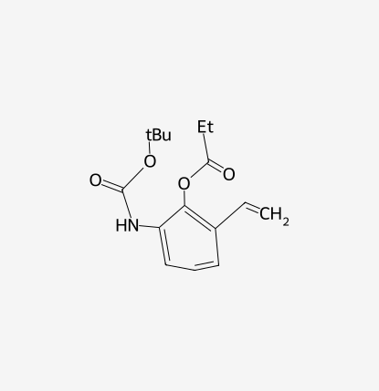 C=Cc1cccc(NC(=O)OC(C)(C)C)c1OC(=O)CC